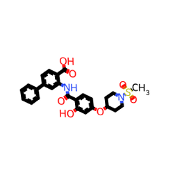 CS(=O)(=O)N1CCC(Oc2ccc(C(=O)Nc3cc(-c4ccccc4)ccc3C(=O)O)c(O)c2)CC1